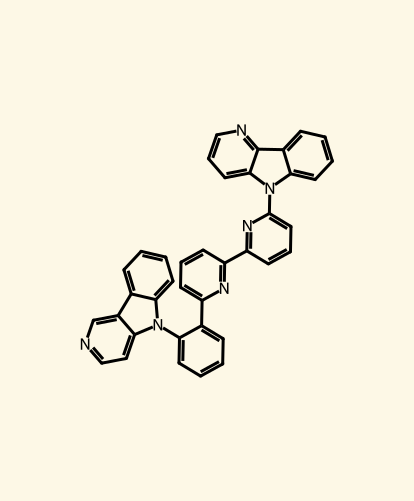 c1cc(-c2cccc(-n3c4ccccc4c4ncccc43)n2)nc(-c2ccccc2-n2c3ccccc3c3cnccc32)c1